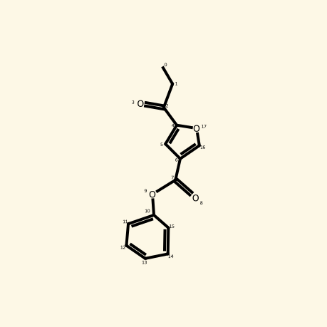 CCC(=O)c1cc(C(=O)Oc2ccccc2)co1